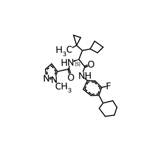 Cn1nccc1C(=O)N[C@H](C(=O)Nc1ccc(C2CCCCC2)c(F)c1)C(C1CCC1)C1(C)CC1